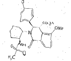 COc1cccc2c1[C@@H](C(=O)O)[C@H](c1ccc(Cl)cc1)N([C@H]1CCCC[C@@H]1NS(C)(=O)=O)C2=O